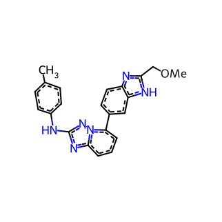 COCc1nc2ccc(-c3cccc4nc(Nc5ccc(C)cc5)nn34)cc2[nH]1